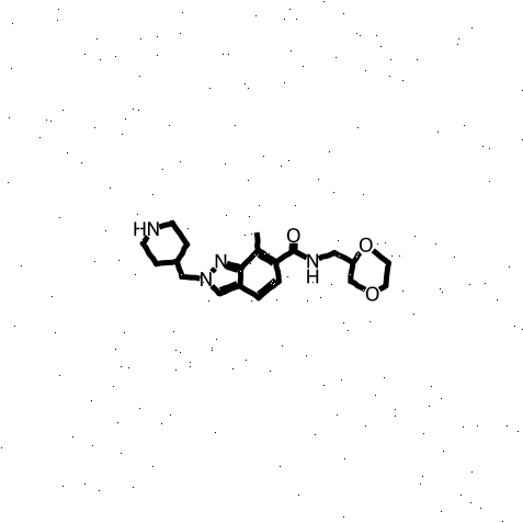 Cc1c(C(=O)NCC2COCCO2)ccc2cn(CC3CCNCC3)nc12